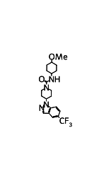 COC1CCC(NC(=O)N2CCC(n3ncc4cc(C(F)(F)F)ccc43)CC2)CC1